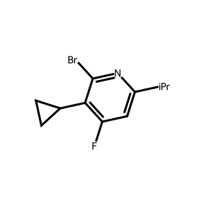 CC(C)c1cc(F)c(C2CC2)c(Br)n1